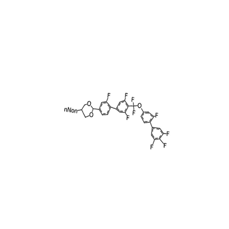 CCCCCCCCCC1COC(c2ccc(-c3cc(F)c(C(F)(F)Oc4ccc(-c5cc(F)c(F)c(F)c5)c(F)c4)c(F)c3)c(F)c2)OC1